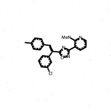 CNc1ncccc1-c1noc(C(=Cc2ccc(C)cc2)c2cccc(Cl)c2)n1